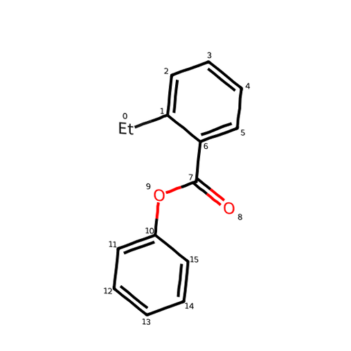 CCc1ccccc1C(=O)Oc1ccccc1